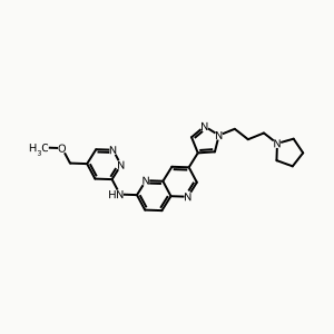 COCc1cnnc(Nc2ccc3ncc(-c4cnn(CCCN5CCCC5)c4)cc3n2)c1